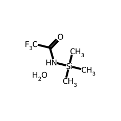 C[Si](C)(C)NC(=O)C(F)(F)F.O